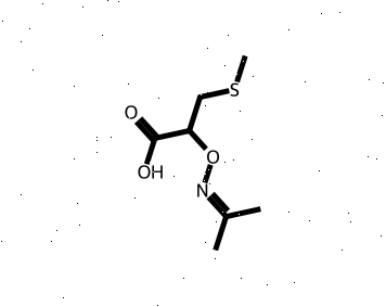 CSCC(ON=C(C)C)C(=O)O